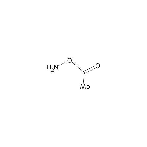 NO[C](=O)[Mo]